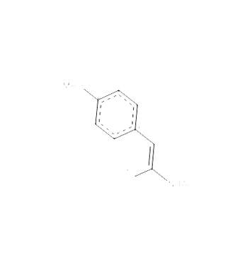 COc1ccc(C=C(NC(C)=O)C(=O)O)cc1